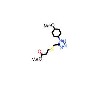 COC(=O)CCSCc1nnnn1C1CCC(OC)CC1